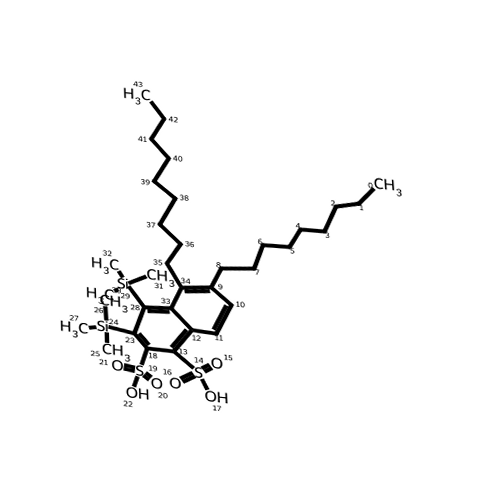 CCCCCCCCCc1ccc2c(S(=O)(=O)O)c(S(=O)(=O)O)c([Si](C)(C)C)c([Si](C)(C)C)c2c1CCCCCCCCC